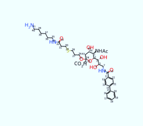 CC(=O)N[C@H]1C([C@H](O)[C@H](O)CNC(=O)c2ccc(-c3ccccc3)cc2)O[C@@](OCCCSCCC(=O)NCCCCCCN)(C(=O)O)C[C@@H]1O